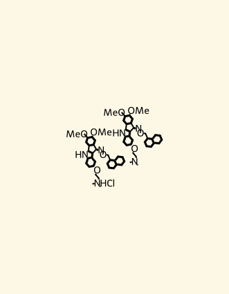 COc1cc2c(cc1OC)-c1[nH]c3ccc(OCCN(C)C)cc3c1C2=NOCc1cccc2ccccc12.COc1cc2c(cc1OC)-c1[nH]c3ccc(OCCN(C)C)cc3c1C2=NOCc1cccc2ccccc12.Cl